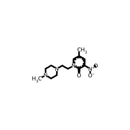 Cc1cc([N+](=O)[O-])c(=O)n(CCN2CCN(C)CC2)c1